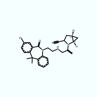 C=C(CNCCN1C(=O)c2cc(Cl)ccc2C(C)(C)c2ccccc21)N1C(C#N)C[C@@H]2C[C@@H]21